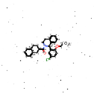 O=C(O)COc1ccc(Cl)cc1C1c2ccccc2CCN1C(=O)C1CCc2ccccc2C1